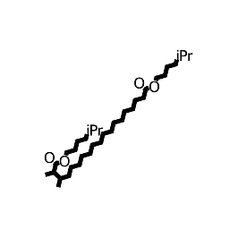 CC(C)CCCCOC(=O)CCCCCCCCCCCCCCCC(C)C(C)C(=O)OCCCCC(C)C